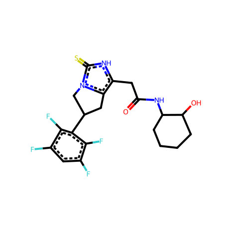 O=C(Cc1[nH]c(=S)n2c1CC(c1c(F)c(F)cc(F)c1F)C2)NC1CCCCC1O